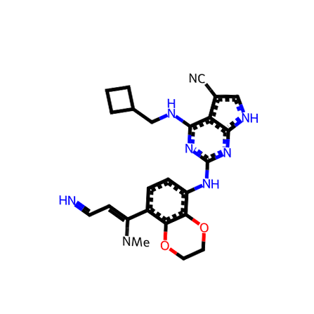 CN/C(=C\C=N)c1ccc(Nc2nc(NCC3CCC3)c3c(C#N)c[nH]c3n2)c2c1OCCO2